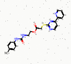 N#Cc1ccc(NC(=O)NCCOC(=O)CSc2nccc(-c3ccccn3)n2)cc1